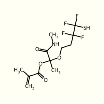 C=C(C)C(=O)OC(C)(OCCC(F)(F)C(F)(F)S)C(=O)NC